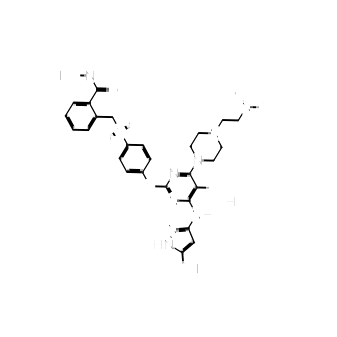 COc1c(Nc2cc(C)[nH]n2)nc(Sc2ccc(S(=O)(=O)Cc3ccccc3C(=O)N(C)C)cc2)nc1N1CCN(CCN(C)C)CC1